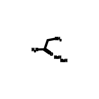 NCC(N)=O.[NaH].[NaH]